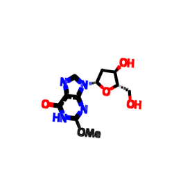 COc1nc2c(ncn2[C@@H]2C[C@@H](O)[C@H](CO)O2)c(=O)[nH]1